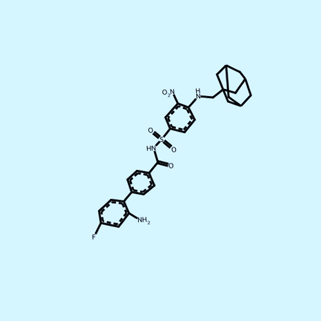 Nc1cc(F)ccc1-c1ccc(C(=O)NS(=O)(=O)c2ccc(NCC34CC5CC(CC(C5)C3)C4)c([N+](=O)[O-])c2)cc1